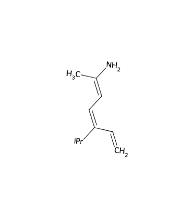 C=C/C(=C\C=C(/C)N)C(C)C